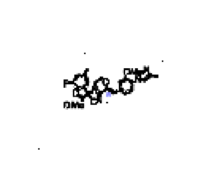 COC(=O)C1(c2cc(C)cc(F)c2)ON=C2/C(=C/c3ccc(-n4cnc(C)c4)c(OC)c3)OCCN21